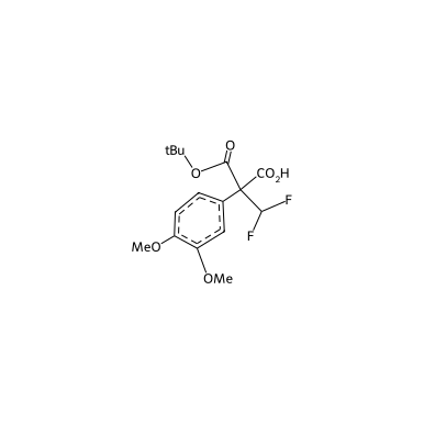 COc1ccc(C(C(=O)O)(C(=O)OC(C)(C)C)C(F)F)cc1OC